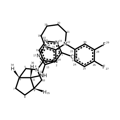 Cc1cc(N2C[C@H]3CC[C@@H](C2)[C@H]3Nc2nc3n(n2)CCCCN3c2ccc(F)c(F)c2)cnn1